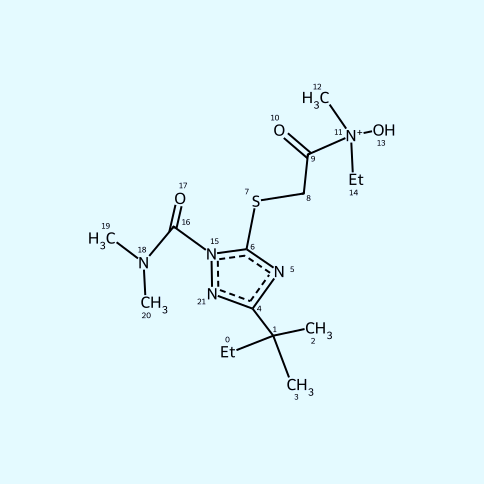 CCC(C)(C)c1nc(SCC(=O)[N+](C)(O)CC)n(C(=O)N(C)C)n1